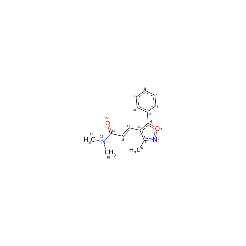 Cc1noc(-c2ccccc2)c1C=CC(=O)N(C)C